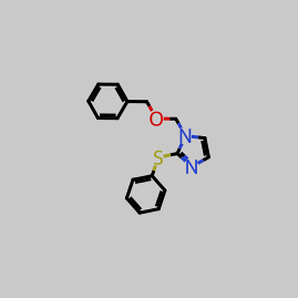 c1ccc(COCn2ccnc2Sc2ccccc2)cc1